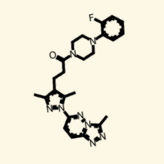 Cc1nn(-c2ccc3nnc(C)n3n2)c(C)c1CCC(=O)N1CCN(c2ccccc2F)CC1